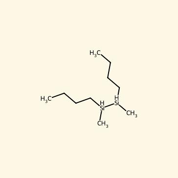 CCCC[SiH](C)[SiH](C)CCCC